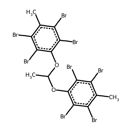 Cc1c(Br)c(Br)c(OC(C)Oc2c(Br)c(Br)c(C)c(Br)c2Br)c(Br)c1Br